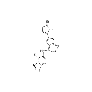 CCN1CC=C(c2cc3c(Nc4ccc5scnc5c4F)ccnc3s2)C1C